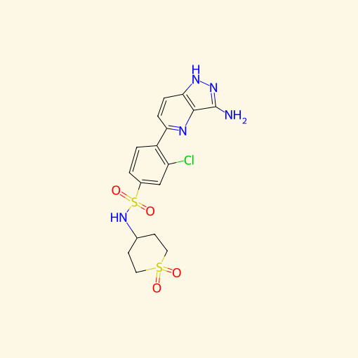 Nc1n[nH]c2ccc(-c3ccc(S(=O)(=O)NC4CCS(=O)(=O)CC4)cc3Cl)nc12